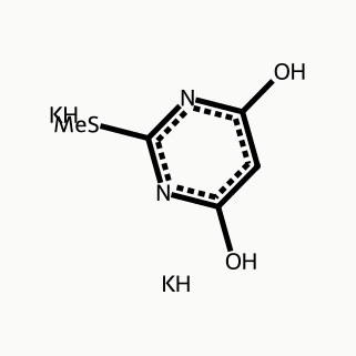 CSc1nc(O)cc(O)n1.[KH].[KH]